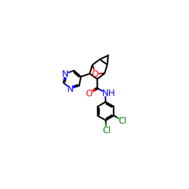 O=C(Nc1ccc(Cl)c(Cl)c1)C1C2OC(C3CC32)C1c1cncnc1